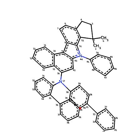 CC1(C)CCc2ccc3c4c5ccccc5c(N(c5ccc(-c6ccccc6)cc5)c5ccccc5-c5ccccc5)cc4n(-c4ccccc4)c3c21